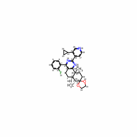 C[C@@H]1[C@H]2CCc3c(-c4ccccc4F)nc(-c4ccncc4C4CC4)nc3[C@]2(C)CCC12OCCO2